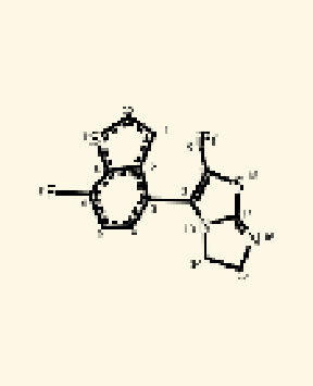 CC(C)C1=C(c2ccc(F)c3sccc23)N2CCN=C2S1